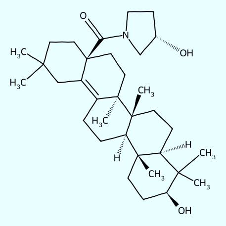 CC1(C)CC[C@]2(C(=O)N3CC[C@H](O)C3)CC[C@]3(C)C(=C2C1)CC[C@@H]1[C@@]2(C)CC[C@H](O)C(C)(C)[C@@H]2CC[C@]13C